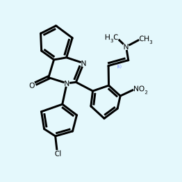 CN(C)/C=C/c1c(-c2nc3ccccc3c(=O)n2-c2ccc(Cl)cc2)cccc1[N+](=O)[O-]